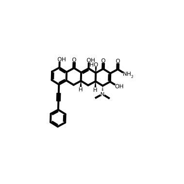 CN(C)[C@H]1C(O)=C(C(N)=O)C(=O)[C@@]2(O)C(O)=C3C(=O)c4c(O)ccc(C#Cc5ccccc5)c4C[C@H]3C[C@@H]12